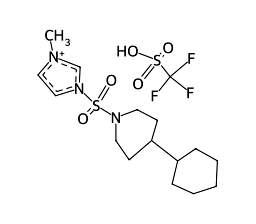 C[n+]1ccn(S(=O)(=O)N2CCC(C3CCCCC3)CC2)c1.O=S(=O)(O)C(F)(F)F